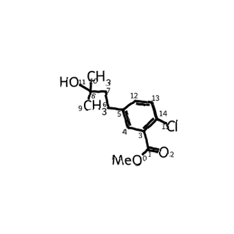 COC(=O)c1cc(CCC(C)(C)O)ccc1Cl